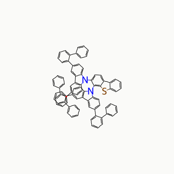 c1ccc(-c2ccccc2-c2ccc3c(c2)c2cc(-c4ccccc4-c4ccccc4)ccc2n3-c2ccc3c(sc4ccccc43)c2-n2c3ccc(-c4ccccc4-c4ccccc4)cc3c3cc(-c4ccccc4-c4ccccc4)ccc32)cc1